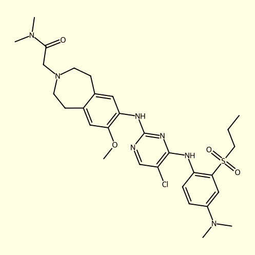 CCCS(=O)(=O)c1cc(N(C)C)ccc1Nc1nc(Nc2cc3c(cc2OC)CCN(CC(=O)N(C)C)CC3)ncc1Cl